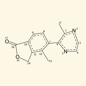 Cc1nccnc1-c1ccc2c(c1C)COC2=O